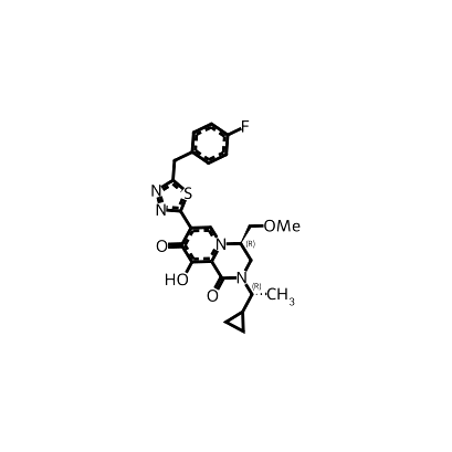 COC[C@H]1CN([C@H](C)C2CC2)C(=O)c2c(O)c(=O)c(-c3nnc(Cc4ccc(F)cc4)s3)cn21